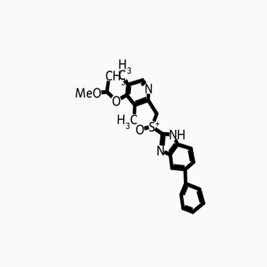 COC(C)Oc1c(C)cnc(C[S+]([O-])c2nc3cc(-c4ccccc4)ccc3[nH]2)c1C